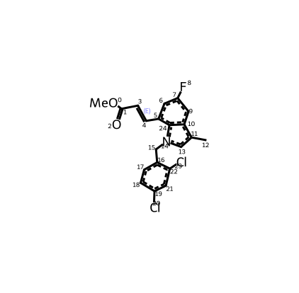 COC(=O)/C=C/c1cc(F)cc2c(C)cn(Cc3ccc(Cl)cc3Cl)c12